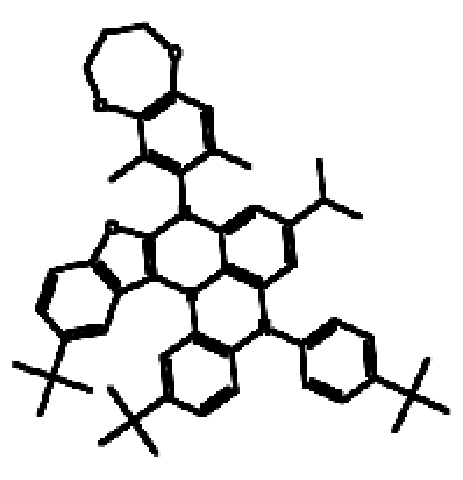 Cc1cc2c(c(C)c1N1c3cc(C(C)C)cc4c3B(c3cc(C(C)(C)C)ccc3N4c3ccc(C(C)(C)C)cc3)c3c1oc1ccc(C(C)(C)C)cc31)OCCCO2